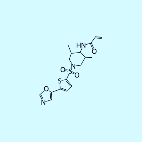 C=CC(=O)NC1C(C)CN(S(=O)(=O)c2ccc(-c3cnco3)s2)CC1C